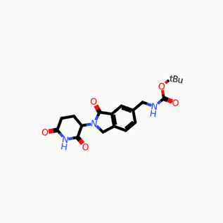 CC(C)(C)OC(=O)NCc1ccc2c(c1)C(=O)N(C1CCC(=O)NC1=O)C2